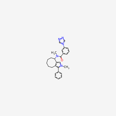 CN(C(=O)c1cccc(-n2cnnc2)c1)C1CCCCCc2c1cn(C)c2-c1ccccc1